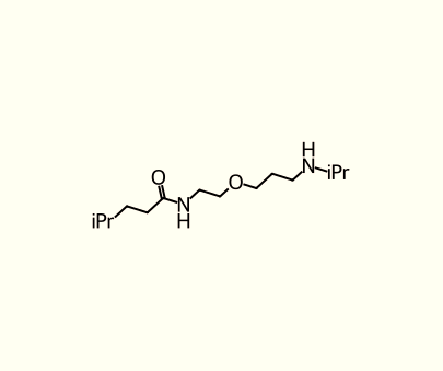 CC(C)CCC(=O)NCCOCCCNC(C)C